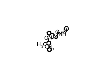 CC1(C)C=C(C(=O)N2Cc3ccc(C(=O)NCCN4CCCCC4)n3Cc3ccccc32)C=CC1c1ccccc1